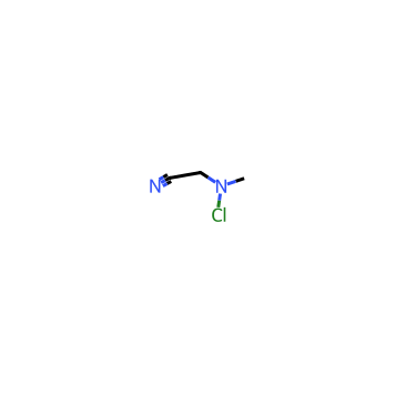 CN(Cl)CC#N